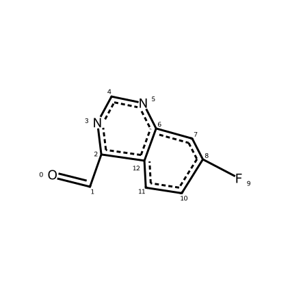 O=Cc1ncnc2cc(F)ccc12